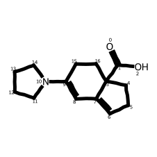 O=C(O)C12CCC=C1C=C(N1CCCC1)CC2